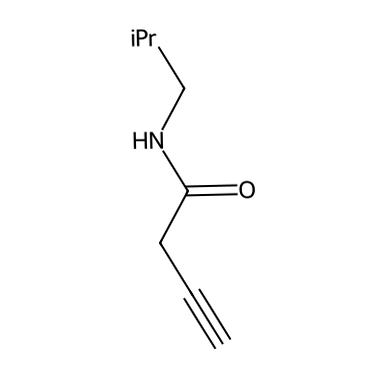 C#CCC(=O)NCC(C)C